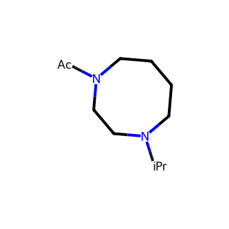 CC(=O)N1CCCCN(C(C)C)CC1